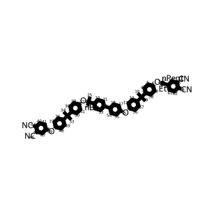 CCCCCC(CC)(Oc1ccc(C(C)(C)c2ccc(Oc3ccc(-c4ccc(C(C)(CCCC)Oc5ccc(C(C)(C)c6ccc(Oc7ccc(C#N)c(C#N)c7)cc6)cc5)cc4)cc3)cc2)cc1)c1ccc(C#N)c(C#N)c1